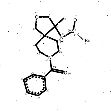 CC(C)(C)[S@@+]([O-])NC1(C)COCC12CCN(C(=O)c1ccccc1)CC2